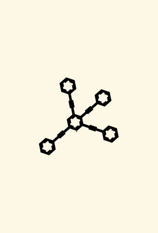 C(#Cc1ccccc1)c1[c]c(C#Cc2ccccc2)c(C#Cc2ccccc2)c(C#Cc2ccccc2)c1